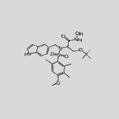 COc1cc(C)c(S(=O)(=O)N(Cc2ccc3[nH]ccc3c2)C(COC(C)(C)C)C(=O)NO)c(C)c1C